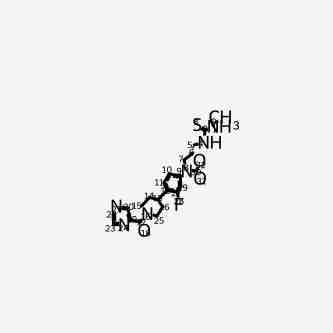 CNC(=S)NC[C@H]1CN(c2ccc(C3CCN(C(=O)c4cnccn4)CC3)c(F)c2)C(=O)O1